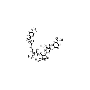 Cc1ccc(S(=O)(=O)OCCCCN(C)C(=O)OCc2c(-c3ccc(O[C@H]4CCC[C@H](C(=O)O)C4)c(C)n3)nnn2C)cc1